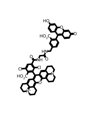 O=C(CNC(=O)c1cc(Cl)c(C(=O)O)c(C2=c3cc4c5c(c3Oc3c2cc2c6c3CCCN6CCC2)CCC[N+]=5CCC4)c1Cl)NCc1ccc(-c2c3ccc(=O)cc-3oc3cc(O)ccc23)c(C(=O)O)c1